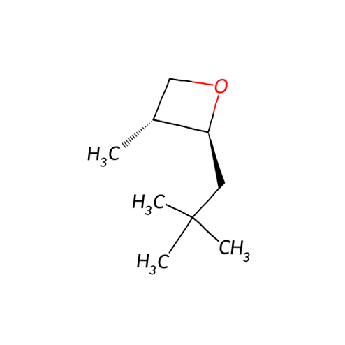 C[C@@H]1CO[C@H]1CC(C)(C)C